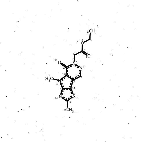 CCOC(=O)Cn1ncc2c3sc(C)nc3n(C)c2c1=O